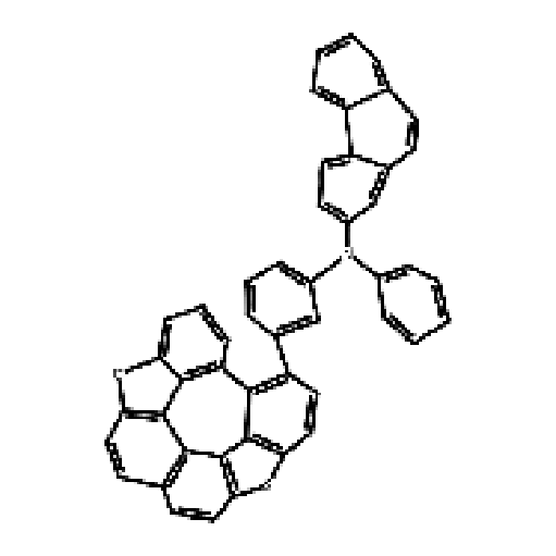 c1ccc(N(c2cccc(-c3ccc4sc5ccc6ccc7oc8cccc9c8c7c6c5c4c3-9)c2)c2ccc3c(ccc4ccccc43)c2)cc1